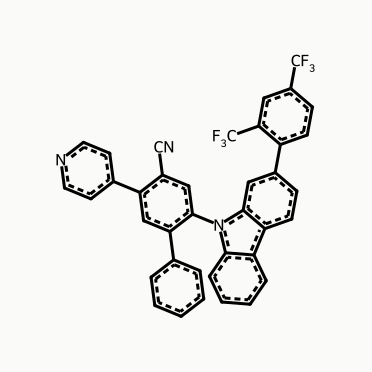 N#Cc1cc(-n2c3ccccc3c3ccc(-c4ccc(C(F)(F)F)cc4C(F)(F)F)cc32)c(-c2ccccc2)cc1-c1ccncc1